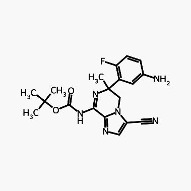 CC(C)(C)OC(=O)NC1=NC(C)(c2cc(N)ccc2F)Cn2c(C#N)cnc21